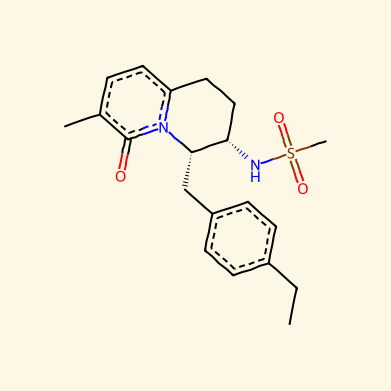 CCc1ccc(C[C@H]2[C@@H](NS(C)(=O)=O)CCc3ccc(C)c(=O)n32)cc1